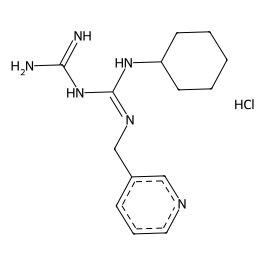 Cl.N=C(N)NC(=NCc1cccnc1)NC1CCCCC1